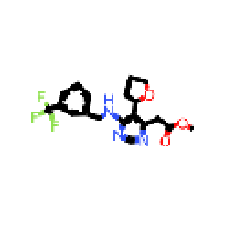 COC(=O)Cc1ncnc(NCc2cccc(C(F)(F)F)c2)c1C1CCCO1